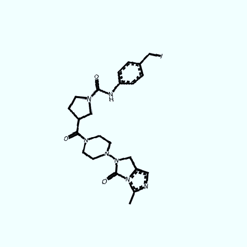 Cc1ncc2n1C(=O)N(N1CCN(C(=O)C3CCN(C(=O)Nc4ccc(CI)cc4)C3)CC1)C2